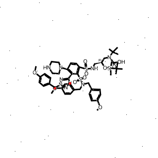 COc1ccc(CN(Cc2ccc(OC)cc2)S(=O)(=O)c2c(S(=O)(=O)NC[C@@H](CN(C(=O)O)C(C)(C)C)O[Si](C)(C)C(C)(C)C)ccc(N3CCNCC3)c2-c2nnn(Cc3ccc(OC)cc3)n2)cc1